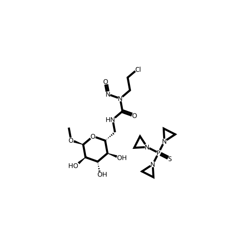 CO[C@H]1O[C@H](CNC(=O)N(CCCl)N=O)[C@@H](O)[C@H](O)[C@H]1O.S=P(N1CC1)(N1CC1)N1CC1